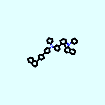 c1ccc(N(c2ccc(-c3ccc(-c4cccc5ccccc45)cc3)cc2)c2cccc(-c3cccc4c3c3ccc5ccccc5c3n4-c3ccccc3)c2)cc1